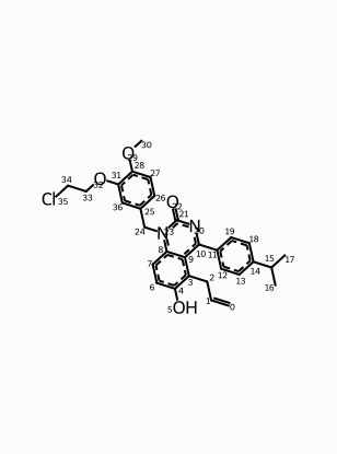 C=CCc1c(O)ccc2c1c(-c1ccc(C(C)C)cc1)nc(=O)n2Cc1ccc(OC)c(OCCCl)c1